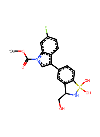 CC(C)(C)OC(=O)n1cc(-c2ccc3c(c2)C(CO)NS3(O)O)c2ccc(F)cc21